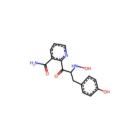 NC(=O)c1cccnc1C(=O)C(Cc1ccc(O)cc1)NO